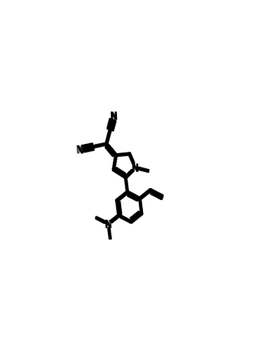 C=Cc1ccc(N(C)C)cc1C1=CC(=C(C#N)C#N)CN1C